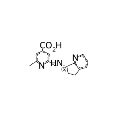 Cc1cc(C(=O)O)cc(CN[C@H]2CCc3cccnc32)n1